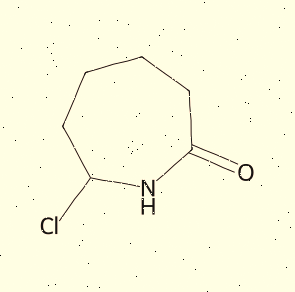 O=C1CCCCC(Cl)N1